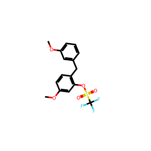 COc1cccc(Cc2ccc(OC)cc2OS(=O)(=O)C(F)(F)F)c1